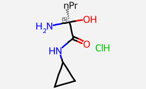 CCC[C@](N)(O)C(=O)NC1CC1.Cl